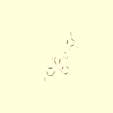 Cc1cc(-c2noc(NC(=O)Cc3ccc(F)cc3F)c2-c2ccncn2)ccc1F